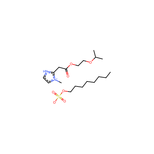 CC(C)OCCOC(=O)Cc1[nH]cc[n+]1C.CCCCCCCCOS(=O)(=O)[O-]